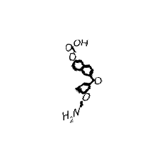 NCCOc1cccc(C(=O)c2ccc3cc(OCC(=O)O)ccc3c2)c1